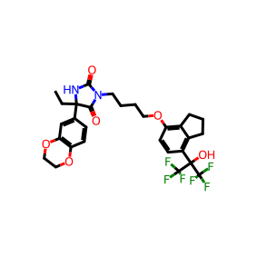 CCC1(c2ccc3c(c2)OCCO3)NC(=O)N(CCCCOc2ccc(C(O)(C(F)(F)F)C(F)(F)F)c3c2CCC3)C1=O